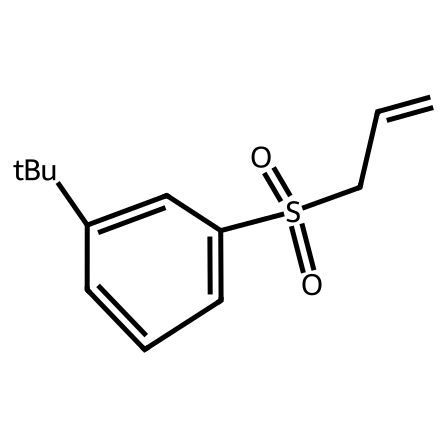 C=CCS(=O)(=O)c1cccc(C(C)(C)C)c1